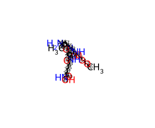 CCOCCOCCOC(=O)NCCN(Cc1ccc(N)c(C)c1)C(=O)c1ccc(NC(=O)CCCCCCC(=O)NO)cc1